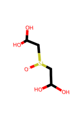 [O-][S+](CC(O)O)CC(O)O